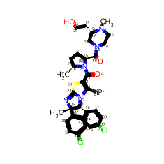 CC(C)C1=C(C(=O)N2[C@H](C)CC[C@H]2C(=O)N2CCN(C)[C@@H](CCO)C2)SC2=N[C@@](C)(c3ccc(Cl)cc3)[C@@H](c3ccc(Cl)cc3)N21